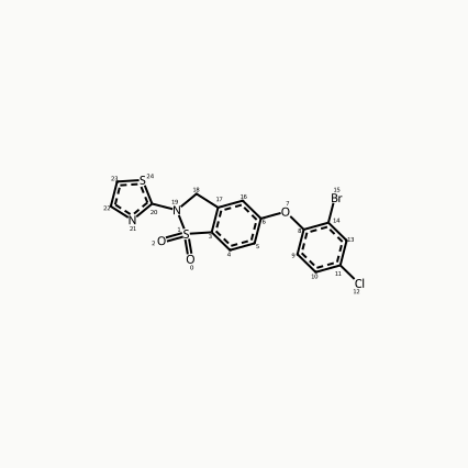 O=S1(=O)c2ccc(Oc3ccc(Cl)cc3Br)cc2CN1c1nccs1